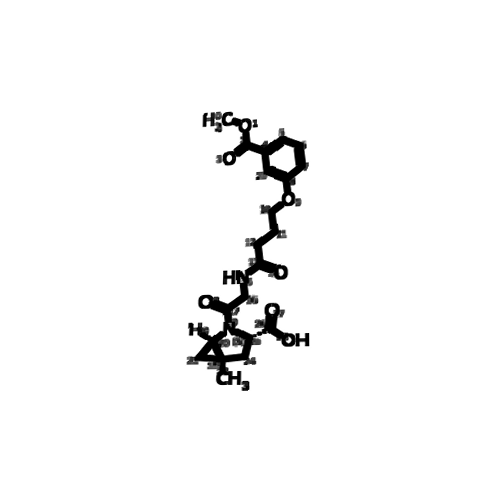 COC(=O)c1cccc(OCCCC(=O)NCC(=O)N2[C@H]3C[C@@]3(C)C[C@H]2C(=O)O)c1